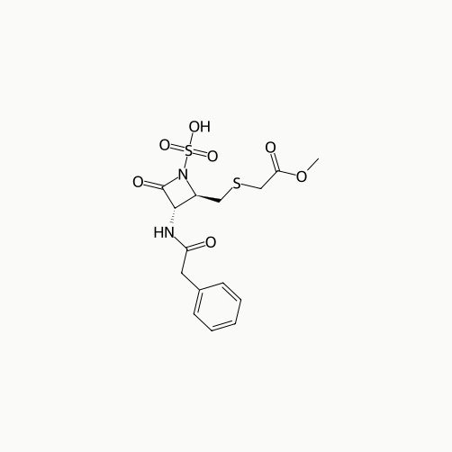 COC(=O)CSC[C@H]1[C@H](NC(=O)Cc2ccccc2)C(=O)N1S(=O)(=O)O